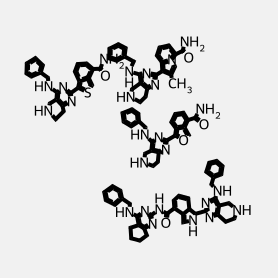 Cc1cn2c(C(N)=O)cccc2c1-c1nc2c(c(NCc3ccccc3)n1)CNCC2.NC(=O)c1cccc2c(-c3nc4c(c(NCc5ccccc5)n3)CNCC4)occ12.NC(=O)c1cccc2c(-c3nc4c(c(NCc5ccccc5)n3)CNCC4)scc12.O=C(Nc1nc2c(c(NCc3ccccc3)n1)CCCC2)C1=CC=CC2C1=CNC2c1nc2c(c(NCc3ccccc3)n1)CNCC2